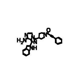 Nc1nccn2c(C3CCN(C(=O)C#Cc4ccccc4)CC3)nc(-c3cc4ccccc4[nH]3)c12